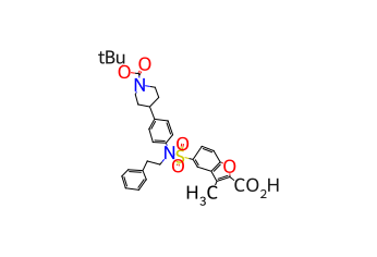 Cc1c(C(=O)O)oc2ccc(S(=O)(=O)N(CCc3ccccc3)c3ccc(C4CCN(C(=O)OC(C)(C)C)CC4)cc3)cc12